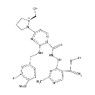 C=C(OCC)c1cnc(C)nc1NNC(=O)c1cnc(N2CCC[C@H]2CO)nc1NCc1ccc(OC)c(Cl)c1